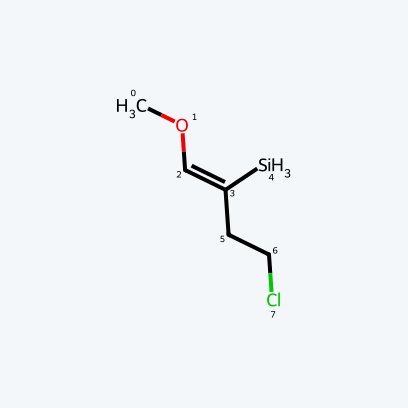 COC=C([SiH3])CCCl